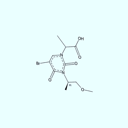 COC[C@@H](C)n1c(=O)c(Br)cn(C(C)C(=O)O)c1=O